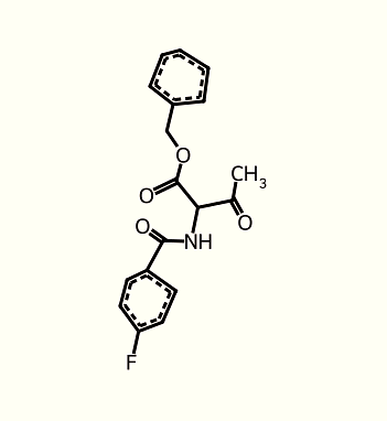 CC(=O)C(NC(=O)c1ccc(F)cc1)C(=O)OCc1ccccc1